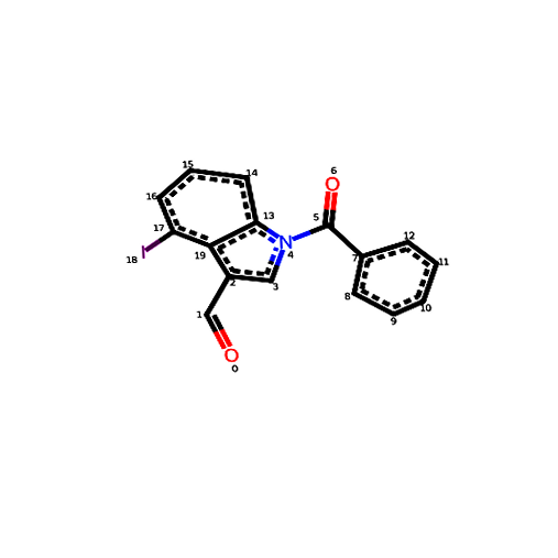 O=Cc1cn(C(=O)c2ccccc2)c2cccc(I)c12